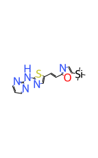 C[Si](C)(C)c1cnc(C=Cc2cnc(Nc3ncccn3)s2)o1